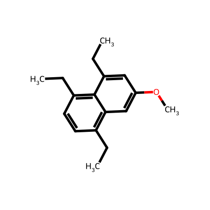 CCc1ccc(CC)c2c(CC)cc(OC)cc12